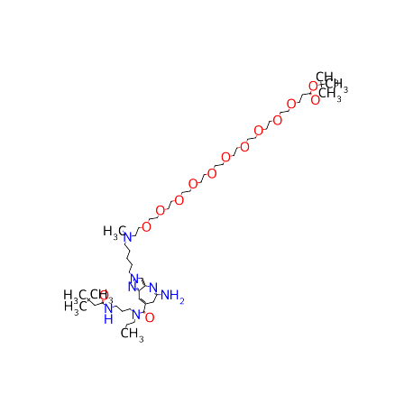 CCCN(CCCNC(=O)CC(C)(C)C)C(=O)C1=Cc2nn(CCCCCN(C)CCOCCOCCOCCOCCOCCOCCOCCOCCOCCOCCC(=O)OC(C)(C)C)cc2N=C(N)C1